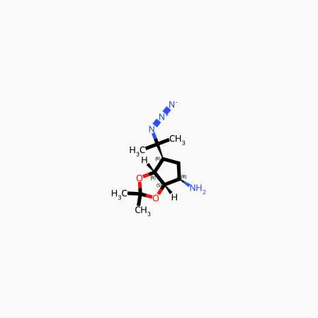 CC1(C)O[C@@H]2[C@H](O1)[C@@H](C(C)(C)N=[N+]=[N-])C[C@H]2N